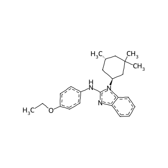 CCOc1ccc(Nc2nc3ccccc3n2[C@H]2C[C@H](C)CC(C)(C)C2)cc1